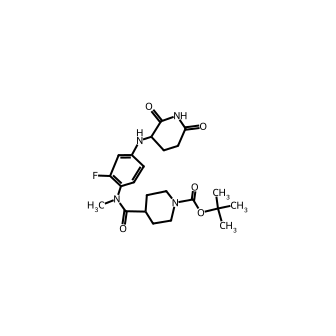 CN(C(=O)C1CCN(C(=O)OC(C)(C)C)CC1)c1ccc(NC2CCC(=O)NC2=O)cc1F